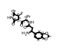 CC(C)[C@H](NC(=O)CC(N)c1ccc2c(c1)OCO2)C(=O)[C@@H]1C(=O)NC(=O)[C@H]1C